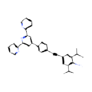 CC(C)c1cc(C#Cc2ccc(-c3cc(-c4ccccn4)nc(-c4ccccn4)c3)cc2)cc(C(C)C)c1N